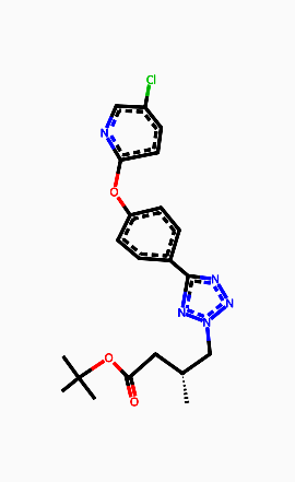 C[C@H](CC(=O)OC(C)(C)C)Cn1nnc(-c2ccc(Oc3ccc(Cl)cn3)cc2)n1